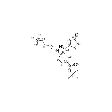 CC(C)(C)OC(=O)N1CCc2c(c(C3=CC(=O)CC3)nn2COCC[Si](C)(C)C)C1